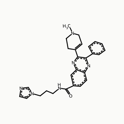 CN1CC=C(c2nc3cc(C(=O)NCCCn4ccnc4)ccc3nc2-c2ccccc2)CC1